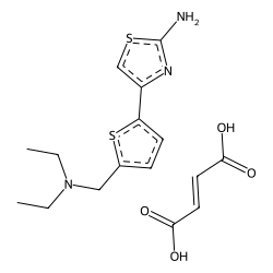 CCN(CC)Cc1ccc(-c2csc(N)n2)s1.O=C(O)C=CC(=O)O